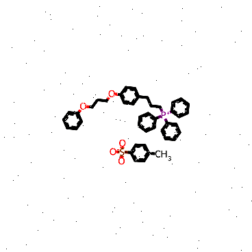 Cc1ccc(S(=O)(=O)[O-])cc1.c1ccc(OCCCOc2ccc(CCC[P+](c3ccccc3)(c3ccccc3)c3ccccc3)cc2)cc1